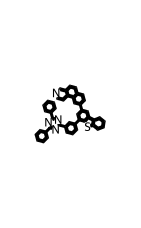 c1ccc(-c2nc(-c3ccccc3)nc(-c3cccc(-c4cc(-c5ccc6ccc7cnccc7c6c5)cc5c4sc4ccccc45)c3)n2)cc1